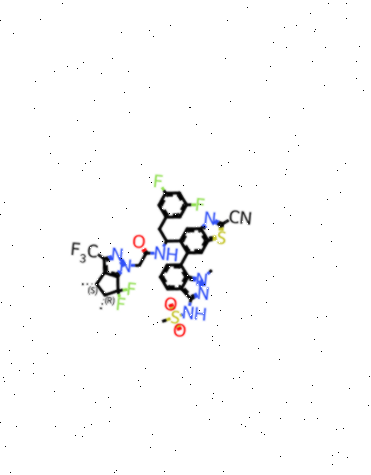 C[C@@H]1c2c(C(F)(F)F)nn(CC(=O)NC(Cc3cc(F)cc(F)c3)c3cc4nc(C#N)sc4cc3-c3cccc4c(NS(C)(=O)=O)nn(C)c34)c2C(F)(F)[C@@H]1C